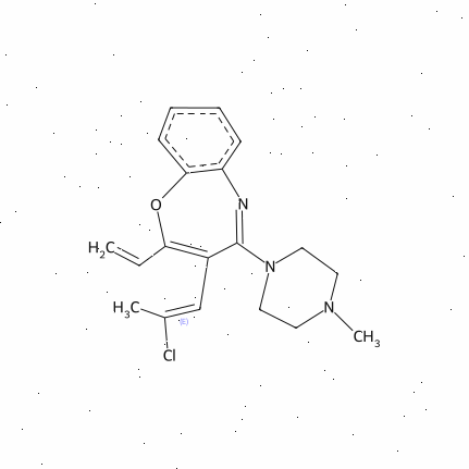 C=CC1=C(/C=C(\C)Cl)C(N2CCN(C)CC2)=Nc2ccccc2O1